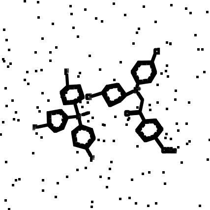 COc1ccc(C(=O)C[S+](c2ccc(Cl)cc2)c2ccc(Cl)cc2)cc1.C[B-](c1ccc(F)cc1)(c1ccc(F)cc1)c1ccc(F)cc1